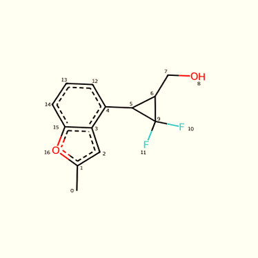 Cc1cc2c(C3C(CO)C3(F)F)cccc2o1